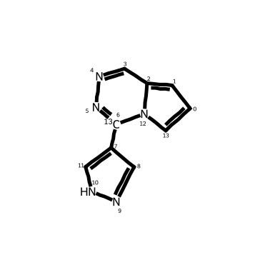 c1cc2cnn[13c](-c3cn[nH]c3)n2c1